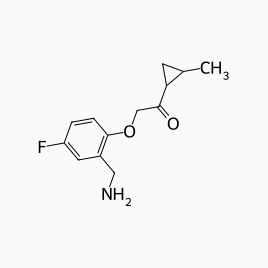 CC1CC1C(=O)COc1ccc(F)cc1CN